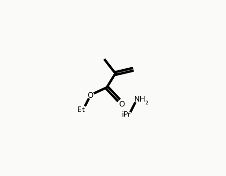 C=C(C)C(=O)OCC.CC(C)N